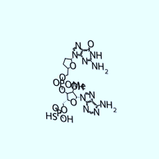 COP(=O)(OCC1CC[C@H](n2cnc3c(=O)[nH]c(N)nc32)O1)O[C@H]1[C@@H](O)[C@H](n2cnc3c(N)ncnc32)O[C@@H]1COP(=O)(O)S